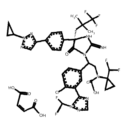 CC(C)(C[C@]1(c2ccc(-c3cnn(C4CC4)n3)cc2)NC(=N)N(C(CN(C(=O)O)C2(C(F)F)CC2)c2ccc(Cl)c(-c3ncnn3C(F)F)c2)C1=O)C(F)(F)F.O=C(O)/C=C\C(=O)O